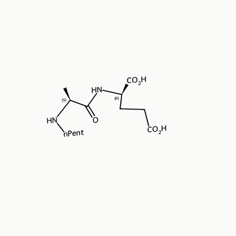 CCCCCN[C@@H](C)C(=O)N[C@H](CCC(=O)O)C(=O)O